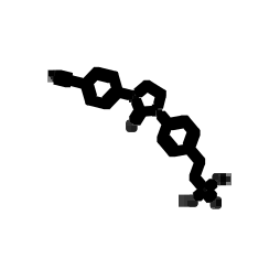 N#Cc1ccc(N2CCN(c3ccc(CCP(=O)(O)O)cc3)C2=O)cc1